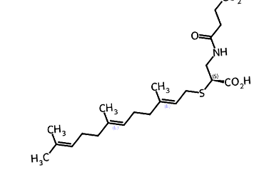 CC(C)=CCC/C(C)=C/CC/C(C)=C/CS[C@@H](CNC(=O)CCC(=O)O)C(=O)O